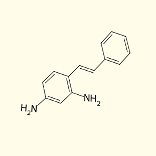 Nc1ccc(C=Cc2ccccc2)c(N)c1